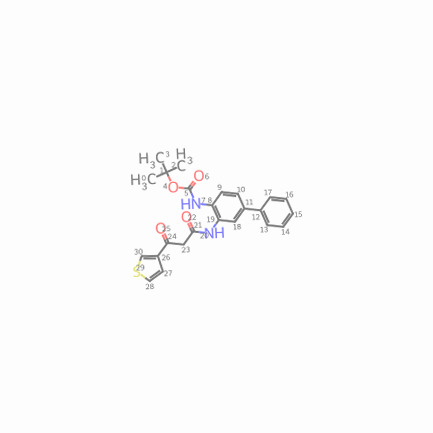 CC(C)(C)OC(=O)Nc1ccc(-c2ccccc2)cc1NC(=O)CC(=O)c1ccsc1